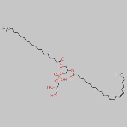 CCCCC/C=C\C/C=C\CCCCCCCCCCCC(=O)O[C@H](COC(=O)CCCCCCCCCCCCCCCCC)COP(=O)(O)OC[C@@H](O)CO